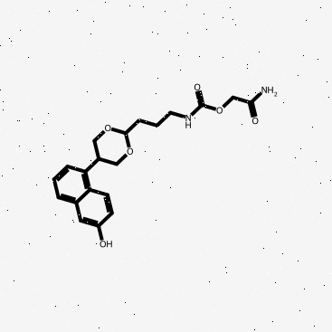 NC(=O)COC(=O)NCCCC1OCC(c2cccc3cc(O)ccc23)CO1